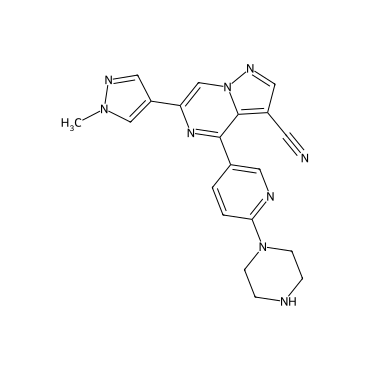 Cn1cc(-c2cn3ncc(C#N)c3c(-c3ccc(N4CCNCC4)nc3)n2)cn1